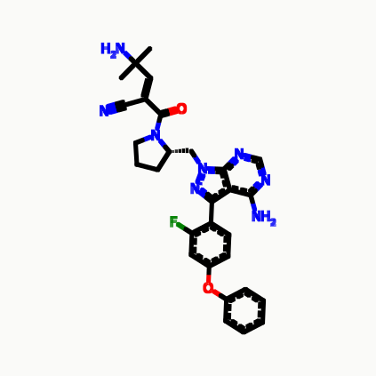 CC(C)(N)C=C(C#N)C(=O)N1CCC[C@H]1Cn1nc(-c2ccc(Oc3ccccc3)cc2F)c2c(N)ncnc21